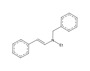 CCN(C=Cc1ccccc1)Cc1ccccc1